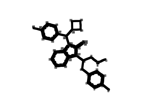 COCC(Cc1ccc(C)cc1)n1c(=N)n(C(c2ccc(C)cc2)C2CCC2)c2ccccc21